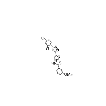 COc1cccc(C2Nn3cc(-c4cc(-c5ccc(Cl)cc5Cl)no4)nc3S2)c1